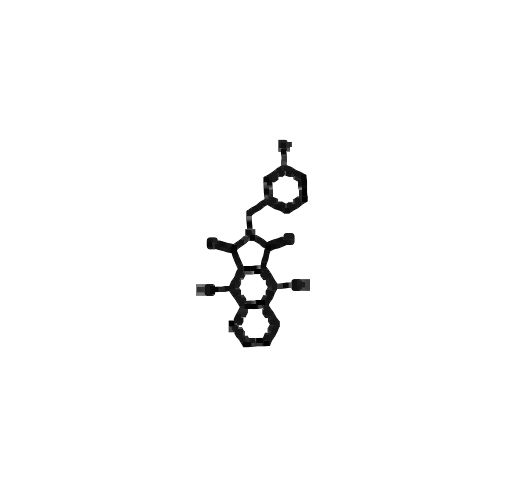 O=C1c2c(c(O)c3ncccc3c2O)C(=O)N1Cc1cccc(Br)c1